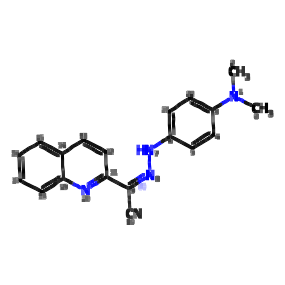 CN(C)c1ccc(N/N=C(/C#N)c2ccc3ccccc3n2)cc1